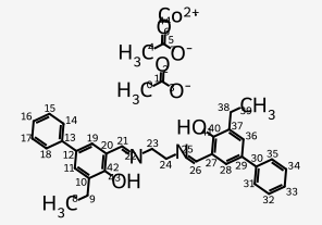 CC(=O)[O-].CC(=O)[O-].CCc1cc(-c2ccccc2)cc(C=NCCN=Cc2cc(-c3ccccc3)cc(CC)c2O)c1O.[Co+2]